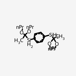 CCCOC(C)(OCCC)[SiH2]c1ccc([SiH2]C(C)(OCCC)OCCC)cc1